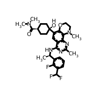 Cc1nc(N[C@H](C)c2cccc(C(F)F)c2F)c2cc([C@]3(O)CC[C@@H](C(=O)N(C)C)CC3)c3c(c2n1)N(C)CCO3